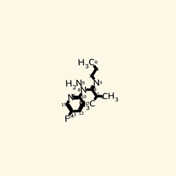 CCC/N=C(/C(C)C)N(N)c1ccc(F)cn1